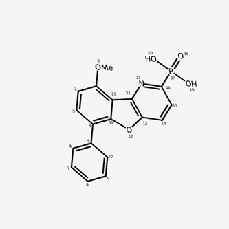 COc1ccc(-c2ccccc2)c2oc3ccc(P(=O)(O)O)nc3c12